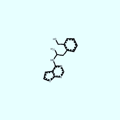 CC(Cc1ccccc1CO)Nc1ncnc2sccc12